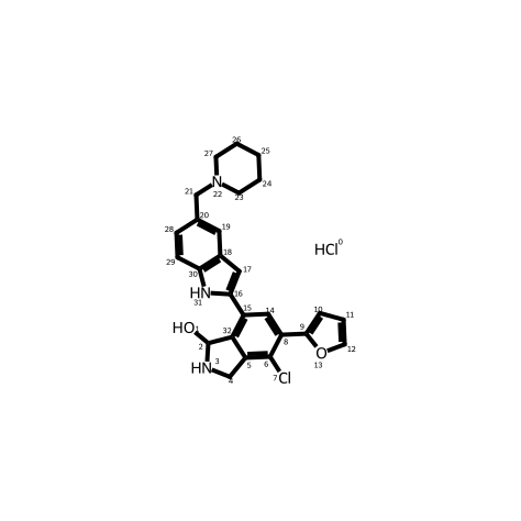 Cl.OC1NCc2c(Cl)c(-c3ccco3)cc(-c3cc4cc(CN5CCCCC5)ccc4[nH]3)c21